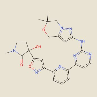 CN1CCC(O)(c2cc(-c3cccc(-c4ccnc(Nc5cc6n(n5)CC(C)(C)OC6)n4)n3)no2)C1=O